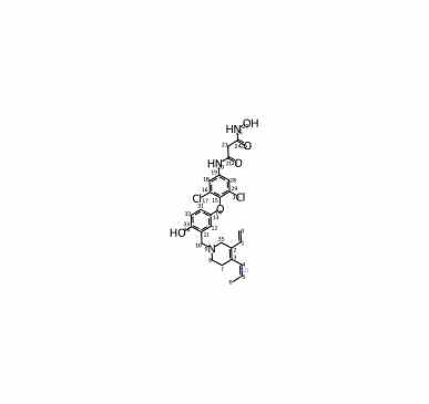 C=CC1=C(/C=C\C)CCN(Cc2cc(Oc3c(Cl)cc(NC(=O)CC(=O)NO)cc3Cl)ccc2O)C1